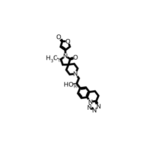 C[C@H]1CC2(CCN(C[C@H](O)c3ccc4c(c3)CCc3nnnn3-4)CC2)C(=O)N1C1=CC(=O)OC1